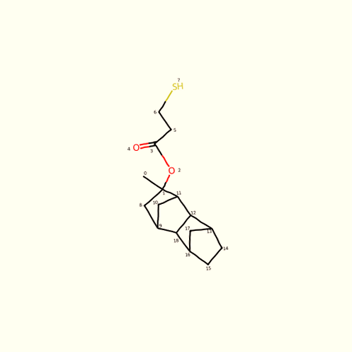 CC1(OC(=O)CCS)CC2CC1C1C3CCC(C3)C21